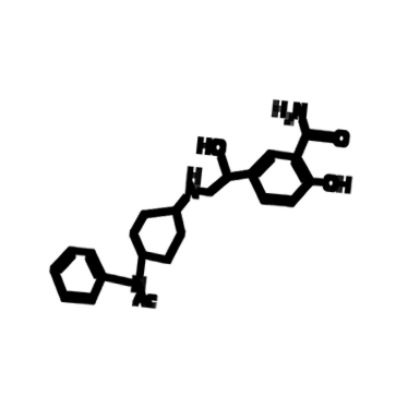 CC(=O)N(c1ccccc1)C1CCC(NCC(O)c2ccc(O)c(C(N)=O)c2)CC1